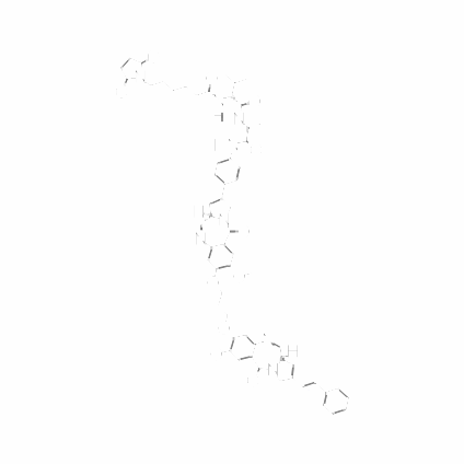 COc1cc2c(cc1OCCCOc1cc3c(cc1OC)C(=O)N1CC(c4ccc(NC(=O)[C@H](C)NC(=O)[C@@H](NC(=O)CCCCCN5C(=O)C=CC5=O)C(C)C)cc4)=C[C@H]1C=N3)N=C[C@@H]1C=C(/C=C/c3ccccc3)CN1C2=O